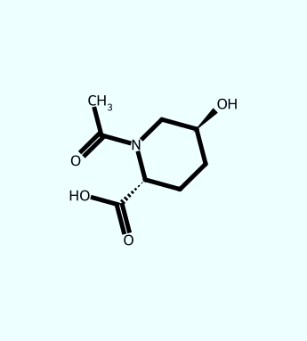 CC(=O)N1C[C@@H](O)CC[C@@H]1C(=O)O